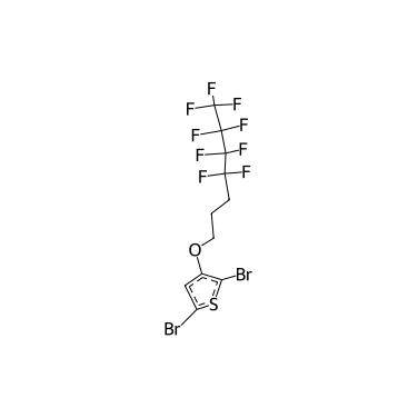 FC(F)(F)C(F)(F)C(F)(F)C(F)(F)CCCOc1cc(Br)sc1Br